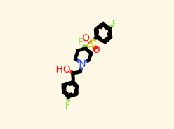 O=S(=O)(c1ccc(F)cc1)C1(F)CCN(CC(O)c2ccc(F)cc2)CC1